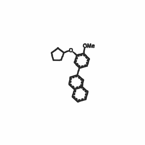 COc1ccc(-c2ccc3ccccc3c2)cc1OC1CCCC1